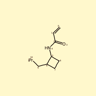 C=CC(=O)NC1CCC1CC(C)C